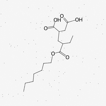 CCCCCCCOC(=O)C(CC)CC(CC(=O)O)C(=O)O